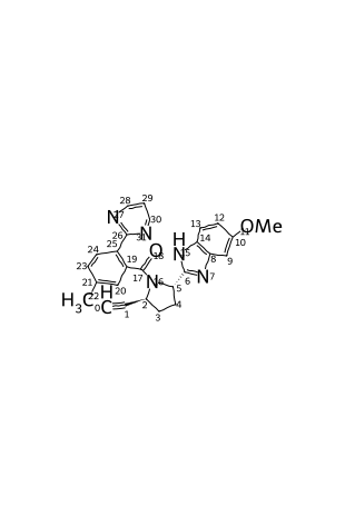 C#C[C@@H]1CC[C@@H](c2nc3cc(OC)ccc3[nH]2)N1C(=O)c1cc(C)ccc1-c1ncccn1